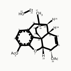 CC(=O)Oc1ccc2c3c1O[C@H]1[C@@H](OC(C)=O)C=C[C@H]4[C@@H](C2)N(C)CC[C@@]341.CCO